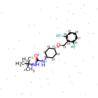 CC(C)(C)NC(=O)N[C@H]1CC[C@H](OCc2c(F)cccc2F)CC1